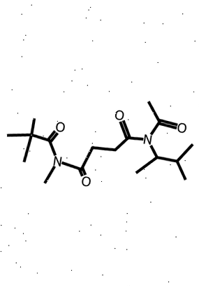 CC(=O)N(C(=O)CCC(=O)N(C)C(=O)C(C)(C)C)C(C)C(C)C